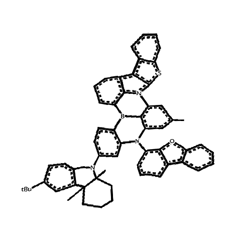 Cc1cc2c3c(c1)-n1c4sc5ccccc5c4c4cccc(c41)B3c1ccc(N3c4ccc(C(C)(C)C)cc4C4(C)CCCCC34C)cc1N2c1cccc2c1oc1ccccc12